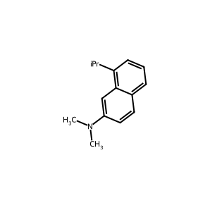 CC(C)c1cccc2ccc(N(C)C)cc12